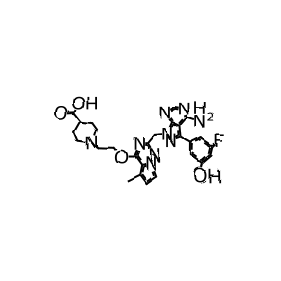 Cc1ccn2nc(Cn3nc(-c4cc(O)cc(F)c4)c4c(N)ncnc43)nc(OCCN3CCC(C(=O)O)CC3)c12